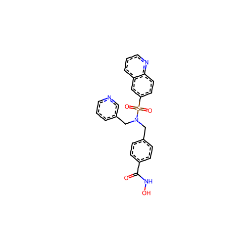 O=C(NO)c1ccc(CN(Cc2cccnc2)S(=O)(=O)c2ccc3ncccc3c2)cc1